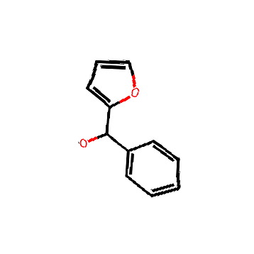 [O]C(c1ccccc1)c1ccco1